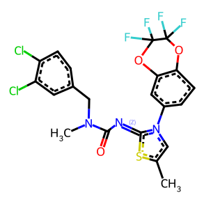 Cc1cn(-c2ccc3c(c2)OC(F)(F)C(F)(F)O3)/c(=N/C(=O)N(C)Cc2ccc(Cl)c(Cl)c2)s1